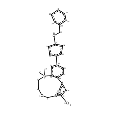 C[Si]1(C)CCOCn2nc(nc2C(F)(F)F)-c2ccc(-c3ccc(OCc4ccccc4)cc3)cc21